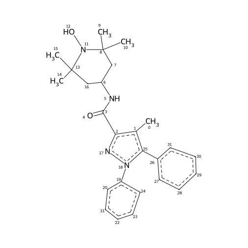 Cc1c(C(=O)NC2CC(C)(C)N(O)C(C)(C)C2)nn(-c2ccccc2)c1-c1ccccc1